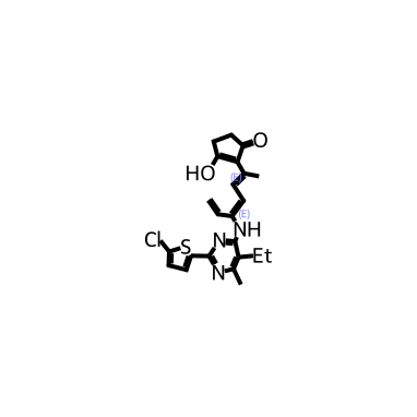 C=C/C(=C\C=C(/C)C1=C(O)CCC1=O)Nc1nc(-c2ccc(Cl)s2)nc(C)c1CC